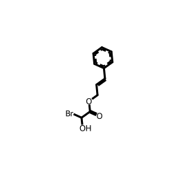 O=C(OC/C=C/c1ccccc1)C(O)Br